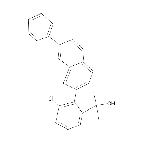 CC(C)(O)c1cccc(Cl)c1-c1ccc2ccc(-c3ccccc3)cc2c1